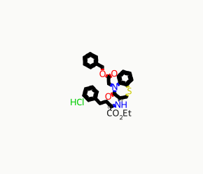 CCOC(=O)[C@H](CCc1ccccc1)N[C@H]1CSc2ccccc2N(CC(=O)OCc2ccccc2)C1=O.Cl